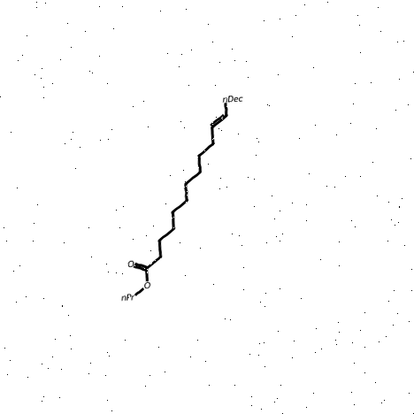 CCCCCCCCCC/C=C/CCCCCCCCCC(=O)OCCC